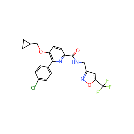 O=C(NCc1cc(C(F)(F)F)on1)c1ccc(OCC2CC2)c(-c2ccc(Cl)cc2)n1